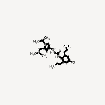 CCCc1cc(Cl)cc(CCC)c1NC(=O)NSc1cc(CN(C)C)n(C(C)C)n1